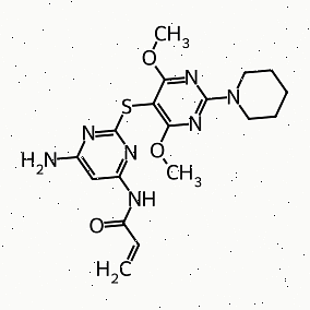 C=CC(=O)Nc1cc(N)nc(Sc2c(OC)nc(N3CCCCC3)nc2OC)n1